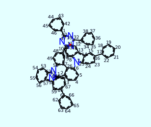 N#Cc1cccc(-n2c3ccccc3c3cc(-c4ccccc4)ccc32)c1-c1cc(-c2nc(-c3ccccc3)nc(-c3ccccc3)n2)ccc1-n1c2ccccc2c2cc(-c3ccccc3)ccc21